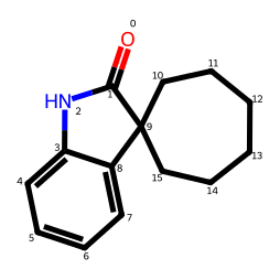 O=C1Nc2ccccc2C12CCCCCC2